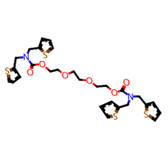 O=C(OCCOCCOCCOC(=O)N(Cc1cccs1)Cc1cccs1)N(Cc1cccs1)Cc1cccs1